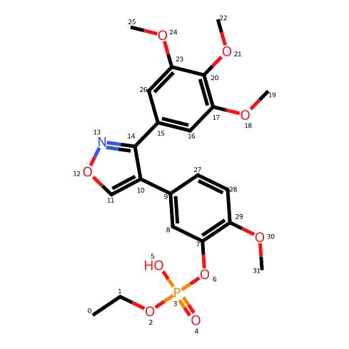 CCOP(=O)(O)Oc1cc(-c2conc2-c2cc(OC)c(OC)c(OC)c2)ccc1OC